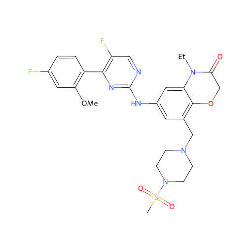 CCN1C(=O)COc2c(CN3CCN(S(C)(=O)=O)CC3)cc(Nc3ncc(F)c(-c4ccc(F)cc4OC)n3)cc21